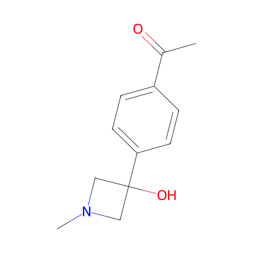 CC(=O)c1ccc(C2(O)CN(C)C2)cc1